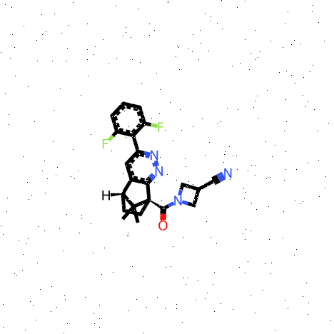 CC1(C)[C@@H]2CC[C@@]1(C(=O)N1CC(C#N)C1)c1nnc(-c3c(F)cccc3F)cc12